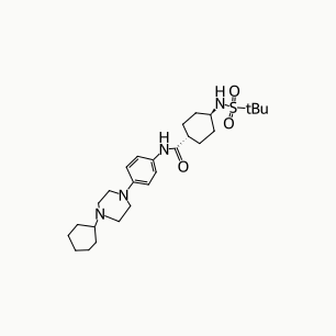 CC(C)(C)S(=O)(=O)N[C@H]1CC[C@H](C(=O)Nc2ccc(N3CCN(C4CCCCC4)CC3)cc2)CC1